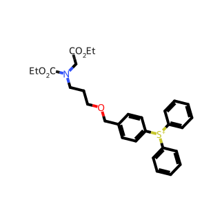 CCOC(=O)CN(CCCOCc1ccc([S+](c2ccccc2)c2ccccc2)cc1)C(=O)OCC